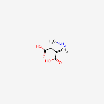 C=C(CC(=O)O)C(=O)O.CN